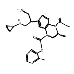 CC(=O)N1c2ccc(C(CN)CNC3CC3)cc2N(C(=O)Oc2cccnc2C)C[C@@H]1C